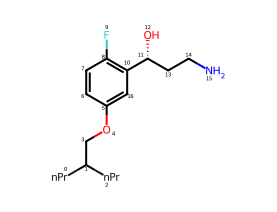 CCCC(CCC)COc1ccc(F)c([C@H](O)CCN)c1